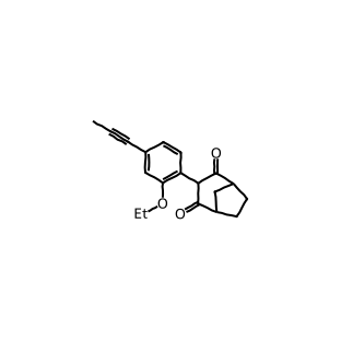 CC#Cc1ccc(C2C(=O)C3CCC(C3)C2=O)c(OCC)c1